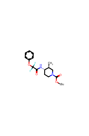 C[C@H]1CN(C(=O)OC(C)(C)C)CC[C@@H]1NC(=O)C(F)(F)Oc1ccccc1